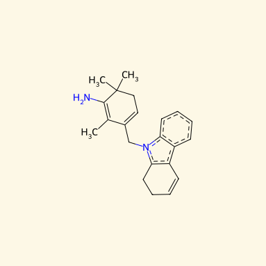 CC1=C(N)C(C)(C)CC=C1Cn1c2c(c3ccccc31)C=CCC2